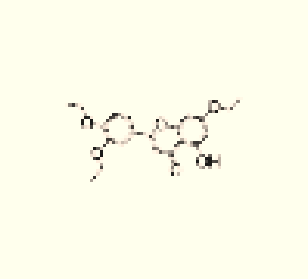 CCOc1cc(O)c2c(=O)cc(-c3ccc(OCC)c(OCC)c3)oc2c1